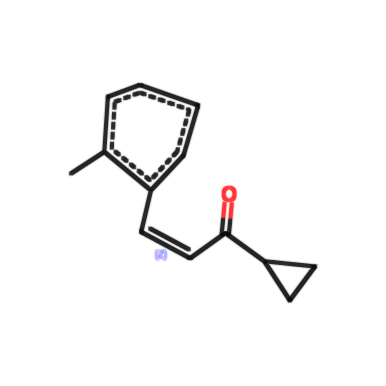 Cc1ccccc1/C=C\C(=O)C1CC1